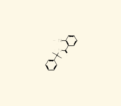 CC(C)(NC(=O)c1[c]cccc1N)c1ccccc1